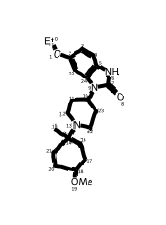 CCOc1ccc2[nH]c(=O)n(C3CCN(C4(C)CCC(OC)CC4)CC3)c2c1